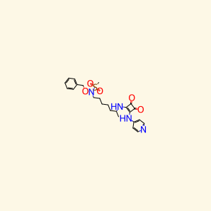 CC(CCCCCN(OCc1ccccc1)S(C)(=O)=O)Nc1c(Nc2ccncc2)c(=O)c1=O